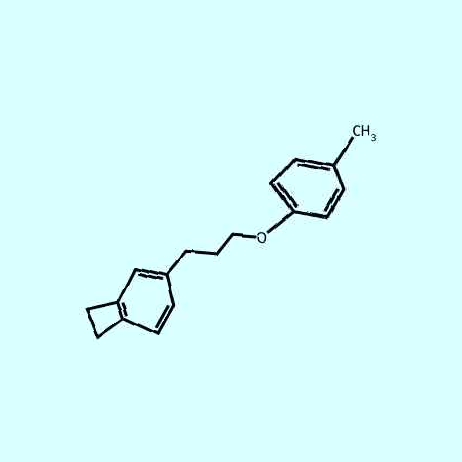 Cc1ccc(OCCCc2ccc3c(c2)CC3)cc1